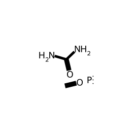 C=O.NC(N)=O.[P]